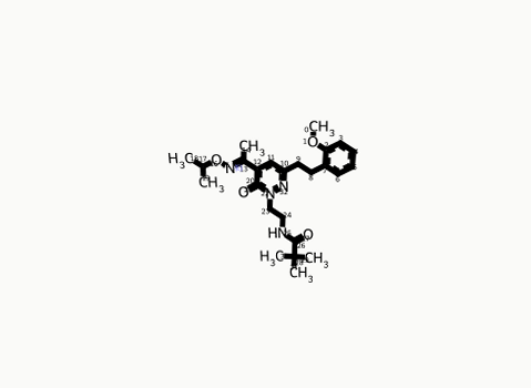 COc1ccccc1CCc1cc(/C(C)=N/OC(C)C)c(=O)n(CCNC(=O)C(C)(C)C)n1